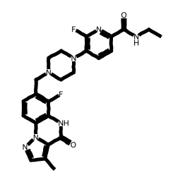 CCNC(=O)c1ccc(N2CCN(Cc3ccc4c([nH]c(=O)c5c(C)cnn54)c3F)CC2)c(F)n1